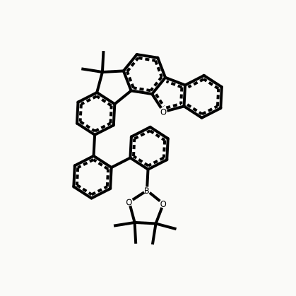 CC1(C)c2ccc(-c3ccccc3-c3ccccc3B3OC(C)(C)C(C)(C)O3)cc2-c2c1ccc1c2oc2ccccc21